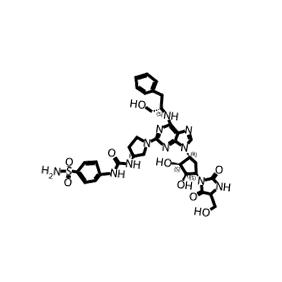 NS(=O)(=O)c1ccc(NC(=O)N[C@@H]2CCN(c3nc(N[C@H](CO)Cc4ccccc4)c4ncn([C@@H]5C[C@H](N6C(=O)NC(CO)C6=O)[C@@H](O)[C@H]5O)c4n3)C2)cc1